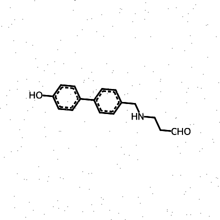 O=CCCNCc1ccc(-c2ccc(O)cc2)cc1